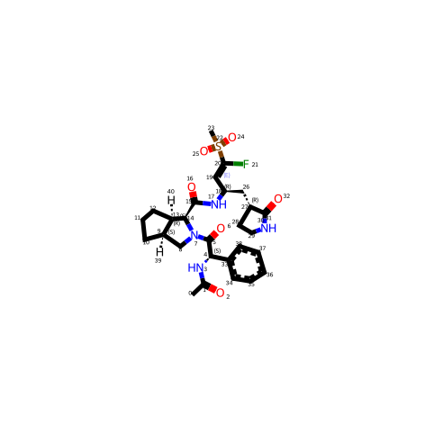 CC(=O)N[C@H](C(=O)N1C[C@H]2CCC[C@H]2[C@H]1C(=O)N[C@@H](/C=C(\F)S(C)(=O)=O)C[C@H]1CCNC1=O)c1ccccc1